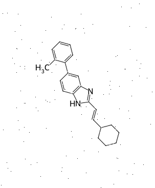 Cc1ccccc1-c1ccc2[nH]c(C=CC3CCCCC3)nc2c1